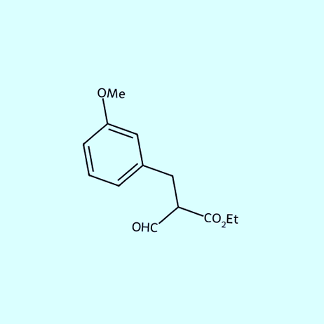 CCOC(=O)C(C=O)Cc1cccc(OC)c1